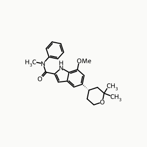 COc1cc([C@H]2CCOC(C)(C)C2)cc2cc(C(=O)N(C)c3ccccc3)[nH]c12